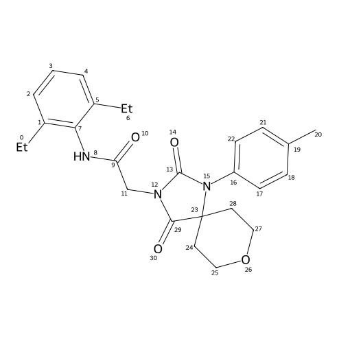 CCc1cccc(CC)c1NC(=O)CN1C(=O)N(c2ccc(C)cc2)C2(CCOCC2)C1=O